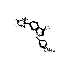 COc1ccc(Cn2cc(C#N)c3ccc(-c4noc(=O)[nH]4)cc32)cc1